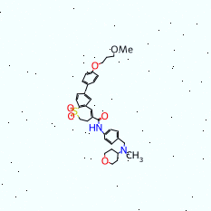 COCCCOc1ccc(-c2ccc3c(c2)C=C(C(=O)Nc2ccc(CN(C)C4CCOCC4)cc2)CCS3(=O)=O)cc1